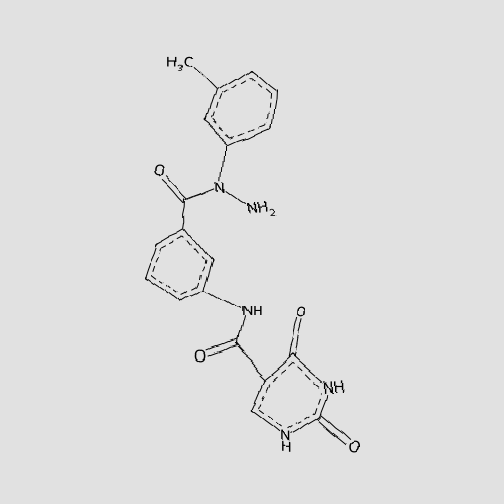 Cc1cccc(N(N)C(=O)c2cccc(NC(=O)c3c[nH]c(=O)[nH]c3=O)c2)c1